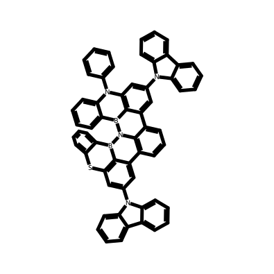 c1ccc(N2c3ccccc3B3c4c(cc(-n5c6ccccc6c6ccccc65)cc42)-c2cccc4c2N3B2c3ccccc3Sc3cc(-n5c6ccccc6c6ccccc65)cc-4c32)cc1